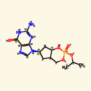 CC(C)OP1(=O)OCC2C[C@@H](n3cnc4c(=O)[nH]c(N)nc43)CC2O1